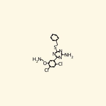 NCOc1cc(-c2nc(N)nc(SCc3ccccc3)n2)c(Cl)cc1Cl